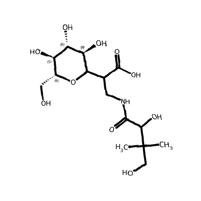 CC(C)(CO)C(O)C(=O)NCC(C(=O)O)C1O[C@H](CO)[C@@H](O)[C@H](O)[C@H]1O